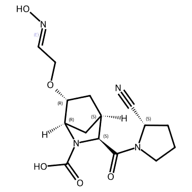 N#C[C@@H]1CCCN1C(=O)[C@@H]1[C@H]2C[C@H]([C@H](OC/C=N/O)C2)N1C(=O)O